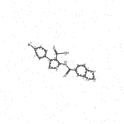 O=C(Nc1scc(-c2ccc(Br)cc2)c1C(=O)O)c1ccc2nnsc2c1